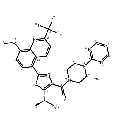 COc1ccc(-c2nc(C(=O)N3CCN(c4ncccn4)[C@H](C)C3)c([C@H](C)N)o2)c2ccc(C(F)(F)F)nc12